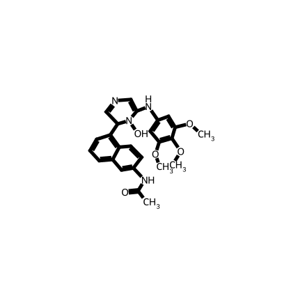 COc1cc(NC2=CN=CC(c3cccc4cc(NC(C)=O)ccc34)N2O)cc(OC)c1OC